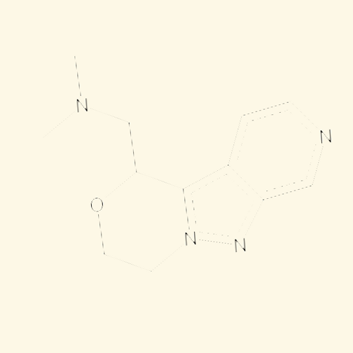 CN(C)CC1OCCn2nc3cnccc3c21